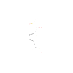 O=S(O)C(O)c1ccc(C(O)SO)s1